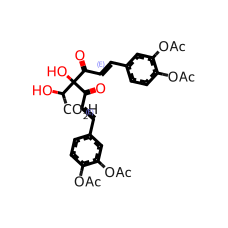 CC(=O)Oc1ccc(/C=C/C(=O)C(O)(C(=O)/C=C/c2ccc(OC(C)=O)c(OC(C)=O)c2)C(O)C(=O)O)cc1OC(C)=O